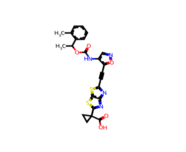 Cc1ccccc1C(C)OC(=O)Nc1cnoc1C#Cc1nc2nc(C3(C(=O)O)CC3)sc2s1